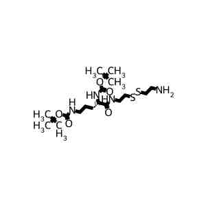 CC(C)(C)OC(=O)NCCC[C@H](NC(=O)OC(C)(C)C)C(=O)NCCSSCCN